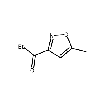 CCC(=O)c1cc(C)on1